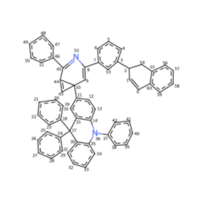 C1=CC(c2cccc(C3=CC4(c5ccc6c(c5)C(c5ccccc5)(c5ccccc5)c5ccccc5N6c5ccccc5)C=C4C(c4ccccc4)=N3)c2)Cc2ccccc21